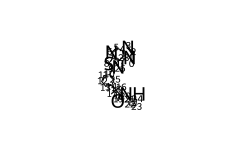 Cn1cnc2cnc3sc(-c4cccc(C(C)(C)C(=O)NC5CCC5)c4)nc3c21